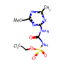 COc1nc(C)nc(NC(=O)NS(=O)(=O)OCC(Cl)(Cl)Cl)n1